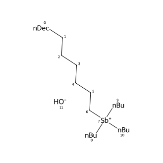 CCCCCCCCCCCCCCC[CH2][Sb+]([CH2]CCC)([CH2]CCC)[CH2]CCC.[OH-]